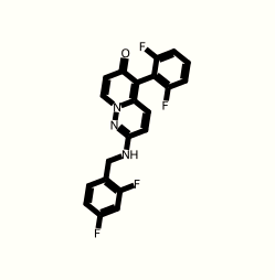 O=c1ccn2nc(NCc3ccc(F)cc3F)ccc2c1-c1c(F)cccc1F